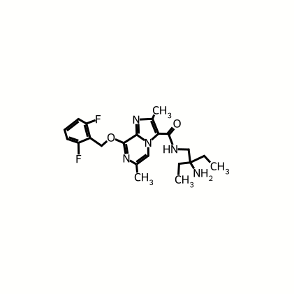 CCC(N)(CC)CNC(=O)c1c(C)nc2c(OCc3c(F)cccc3F)nc(C)cn12